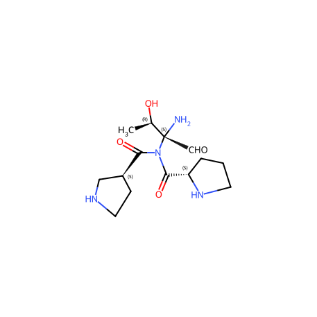 C[C@@H](O)[C@@](N)(C=O)N(C(=O)[C@H]1CCNC1)C(=O)[C@@H]1CCCN1